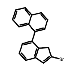 BrC1=Cc2cccc(-c3cccc4ccccc34)c2C1